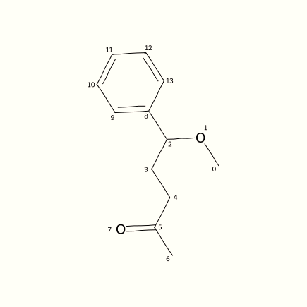 COC(CCC(C)=O)c1ccccc1